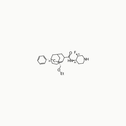 CCOC[C@]12CC3CC(C(=O)N[C@@H]4CCNC[C@@H]4F)C1CC[C@@](c1ccccc1)(C3)C2